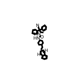 CC(NC(=O)NC1CCC(CCN2[C@@H]3CC[C@H]2c2ccccc23)CC1)C(C#N)(c1ccccc1)c1ccccc1